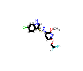 COc1nc(OCC(F)F)ccc1NSc1c[nH]c2cc(Cl)ccc12